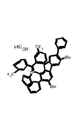 CC(C)(C)c1cc2c(cc1-c1ccccc1)Cc1c-2cc(C(C)(C)C)c(-c2ccccc2)[c]1[Zr]([C]1=CC=CC1)=[C](c1cccc(C(F)(F)F)c1)c1cccc(C(F)(F)F)c1.Cl.Cl